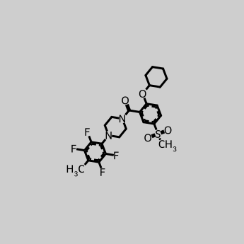 Cc1c(F)c(F)c(N2CCN(C(=O)c3cc(S(C)(=O)=O)ccc3OC3CCCCC3)CC2)c(F)c1F